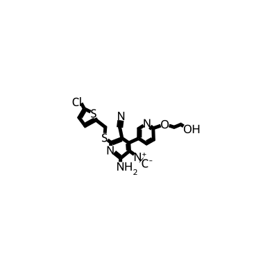 [C-]#[N+]c1c(N)nc(SCc2ccc(Cl)s2)c(C#N)c1-c1ccc(OCCO)nc1